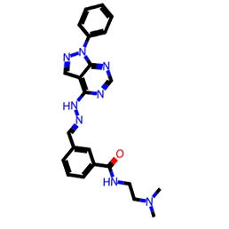 CN(C)CCNC(=O)c1cccc(C=NNc2ncnc3c2cnn3-c2ccccc2)c1